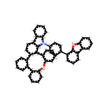 c1ccc2c(c1)oc1c(-c3ccc(-n4c5ccccc5c5ccc6c7ccccc7c7ccccc7oc7ccccc7c6c54)cc3)cccc12